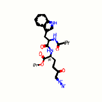 CC(C)OC(=O)[C@H](CCC(=O)C=[N+]=[N-])NC(=O)C(Cc1c[nH]c2ccccc12)NC(=O)C(C)C